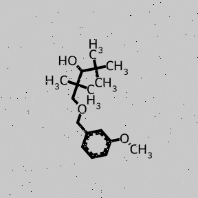 COc1cccc(COCC(C)(C)C(O)C(C)(C)C)c1